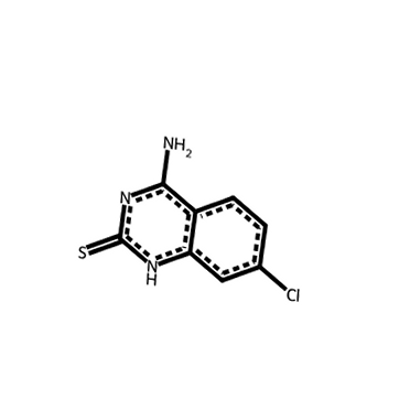 Nc1nc(=S)[nH]c2cc(Cl)ccc12